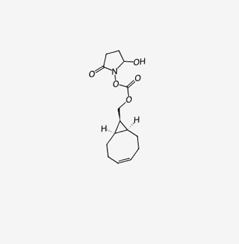 O=C(OC[C@@H]1[C@@H]2CC/C=C\CC[C@@H]21)ON1C(=O)CCC1O